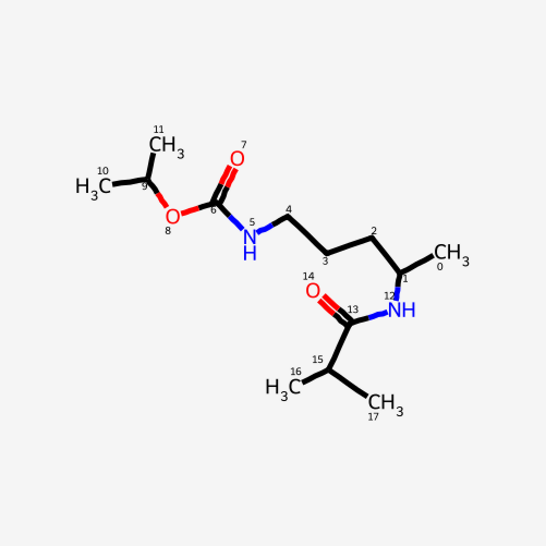 CC(CCCNC(=O)OC(C)C)NC(=O)C(C)C